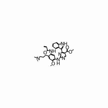 C=CC(=O)Nc1cc(Nc2ncc(C(=O)OC)c(-c3c[nH]c4ccccc34)n2)c(OC)cc1CCCN(C)C